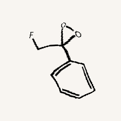 FCC1(c2ccccc2)OO1